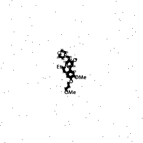 CCC1Cc2cc(OCCCOC)c(OC)cc2-c2cc(=O)c(CN3CCOCC3)cn21